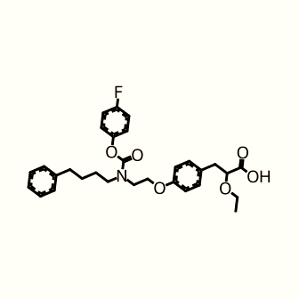 CCOC(Cc1ccc(OCCN(CCCCc2ccccc2)C(=O)Oc2ccc(F)cc2)cc1)C(=O)O